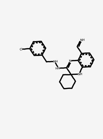 N=Cc1cccc2c1N=C(NNCc1cccc(Cl)c1)C1(CCCCC1)N2